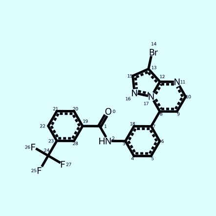 O=C(Nc1cccc(-c2ccnc3c(Br)cnn23)c1)c1cccc(C(F)(F)F)c1